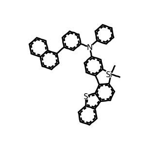 C[Si]1(C)c2cc(N(c3ccccc3)c3cccc(-c4cccc5ccccc45)c3)ccc2-c2c1ccc1c2sc2ccccc21